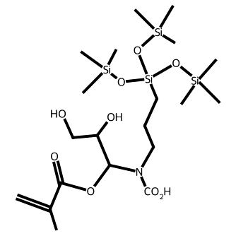 C=C(C)C(=O)OC(C(O)CO)N(CCC[Si](O[Si](C)(C)C)(O[Si](C)(C)C)O[Si](C)(C)C)C(=O)O